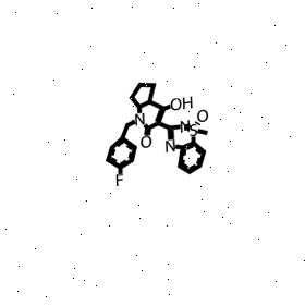 CS1(=O)=NC(C2=C(O)C3CCCC3N(Cc3ccc(F)cc3)C2=O)=Nc2ccccc21